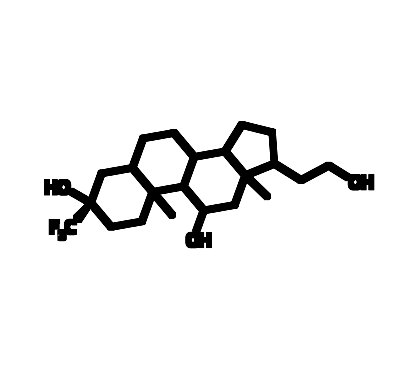 CC12CC(O)C3C(CCC4C[C@](O)(C(F)(F)F)CCC43C)C1CCC2CCO